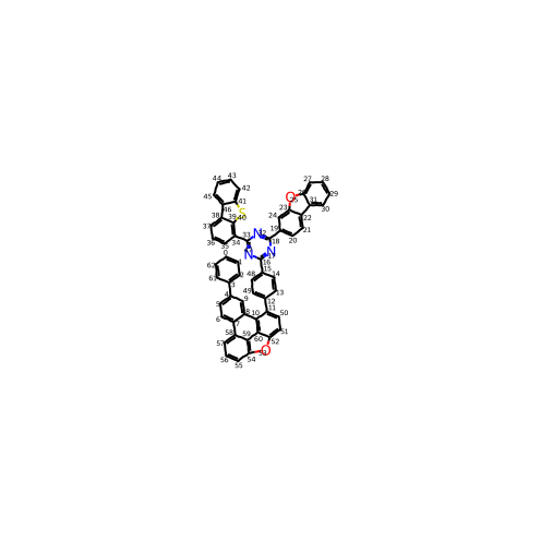 c1ccc(-c2ccc3c(c2)c2c(-c4ccc(-c5nc(-c6ccc7c(c6)oc6ccccc67)nc(-c6cccc7c6sc6ccccc67)n5)cc4)ccc4oc5cccc3c5c42)cc1